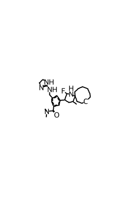 CC1CC(c2cc(CNC3=NCCN3)cc(C(=O)N(C)C)c2)C(F)NC12CCCCCCCCC2